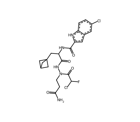 NC(=O)CCN(NC(=O)C(CC12CC(C1)C2)NC(=O)c1cc2cc(Cl)ccc2[nH]1)C(=O)C(F)Cl